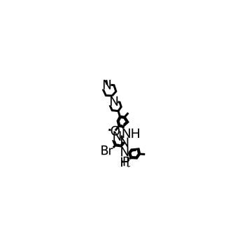 COc1cc(C2CCN(C3CCN(C)CC3)CC2)c(C)cc1Nc1ncc(Br)c(Nc2ccc(C)cc2P(C)C)n1